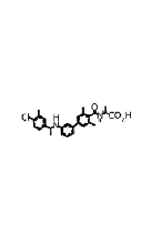 Cc1cc(C(C)Nc2cccc(-c3cc(C)c(C(=O)N(C)[C@@H](C)C(=O)O)c(C)c3)c2)ccc1Cl